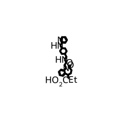 CCC(C(=O)O)C1CCC(=O)N(CC(=O)NCC2CCC(Nc3ccccn3)CC2)c2ccccc21